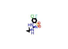 CC1(NC2=NS(=O)(=O)c3cc(F)c(Cl)cc3N2)CC1